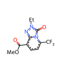 CCn1nc2c(C(=O)OC)ccc(C(F)(F)F)n2c1=O